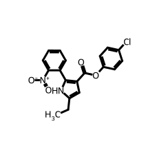 CCc1cc(C(=O)Oc2ccc(Cl)cc2)c(-c2ccccc2[N+](=O)[O-])[nH]1